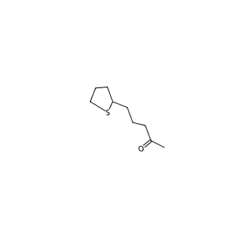 CC(=O)CCCC1CCCS1